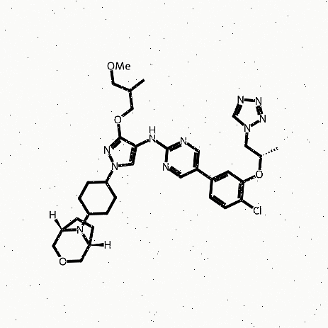 COCC(C)COc1nn(C2CCC(N3[C@@H]4CC[C@H]3COC4)CC2)cc1Nc1ncc(-c2ccc(Cl)c(O[C@@H](C)Cn3cnnn3)c2)cn1